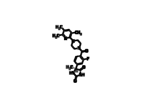 Cc1cc(C)c(N2CCN(C(=O)c3ccc([C@]4(C)NC(=O)NC4=O)cc3F)CC2)nc1C